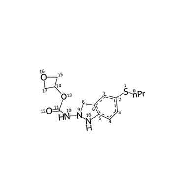 CCCSc1ccc2c(c1)CN(NC(=O)OC1COC1)N2